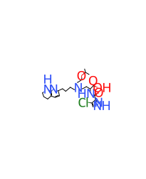 CC(C)OCCN(CCCCc1ccc2c(n1)NCCC2)CCC(NC(=O)c1n[nH]cc1Cl)C(=O)O